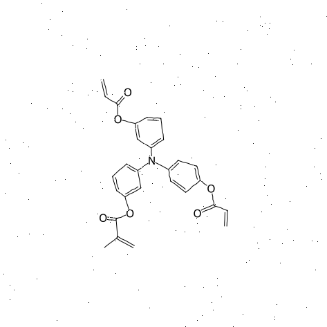 C=CC(=O)Oc1ccc(N(c2cccc(OC(=O)C=C)c2)c2cccc(OC(=O)C(=C)C)c2)cc1